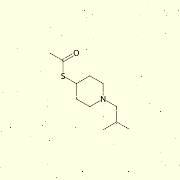 C[C](C)CN1CCC(SC(C)=O)CC1